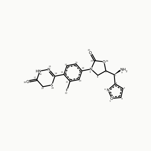 N[C@@H](c1ccon1)C1CN(c2ccc(C3=NNC(=O)CS3)c(F)c2)C(=O)O1